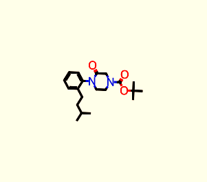 CC(C)CCc1ccccc1N1CCN(C(=O)OC(C)(C)C)CC1=O